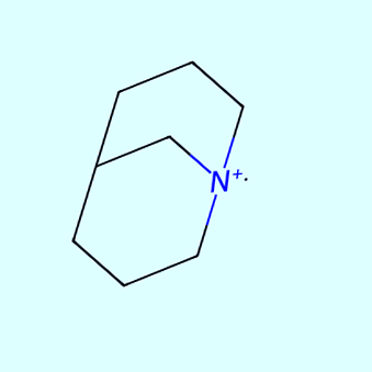 C1CC2CCC[N+](C1)C2